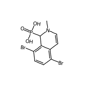 CN1C=Cc2c(Br)ccc(Br)c2C1P(=O)(O)O